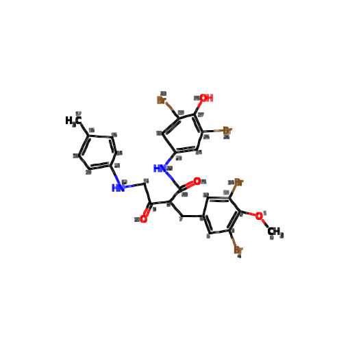 COc1c(Br)cc(CC(C(=O)CNc2ccc(C)cc2)C(=O)Nc2cc(Br)c(O)c(Br)c2)cc1Br